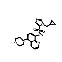 O=S(=O)(Nc1ccc(N2CCOCC2)c2cccnc12)c1cncn1CC1CC1